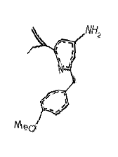 C=C(C)c1cc(N)cc(Cc2ccc(OC)cc2)n1